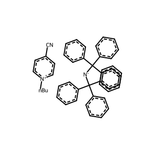 CCCC[n+]1ccc(C#N)cc1.c1ccc(C([N-]C(c2ccccc2)(c2ccccc2)c2ccccc2)(c2ccccc2)c2ccccc2)cc1